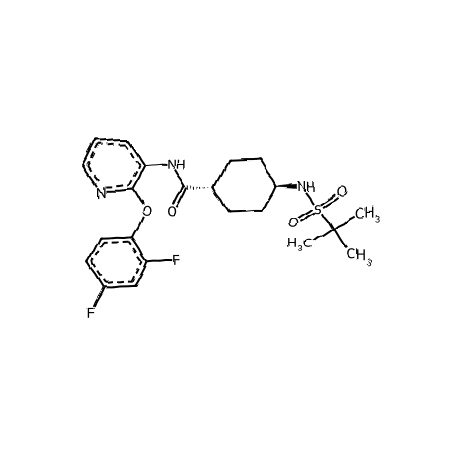 CC(C)(C)S(=O)(=O)N[C@H]1CC[C@H](C(=O)Nc2cccnc2Oc2ccc(F)cc2F)CC1